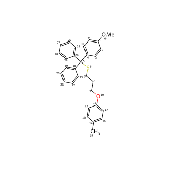 COc1ccc(C(SCCCOc2ccc(C)cc2)(c2ccccc2)c2ccccc2)cc1